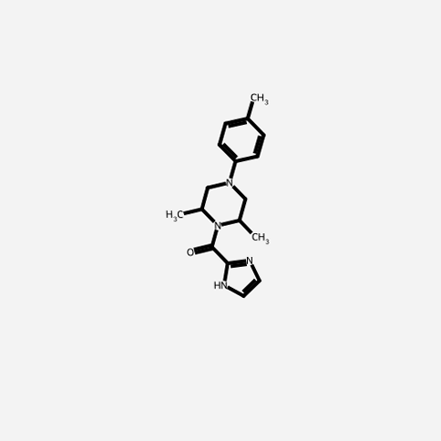 Cc1ccc(N2CC(C)N(C(=O)c3ncc[nH]3)C(C)C2)cc1